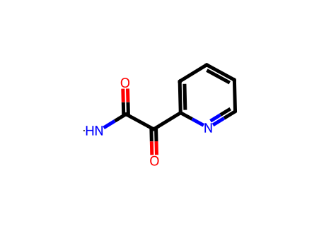 [NH]C(=O)C(=O)c1ccccn1